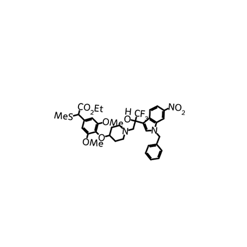 CCOC(=O)C(SC)c1cc(OC)c(OC2CCN(CC(O)(c3cn(Cc4ccccc4)c4cc([N+](=O)[O-])ccc34)C(F)(F)F)CC2)c(OC)c1